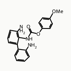 COc1ccc(OC(=O)Nc2c(N)cccc2-c2ccccc2N)cc1